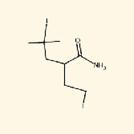 CC(C)(I)CC(CCI)C(N)=O